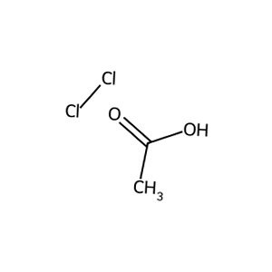 CC(=O)O.ClCl